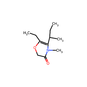 CCC1=C(C(C)CC)N(C)C(=O)CO1